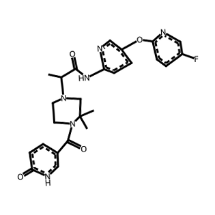 CC(C(=O)Nc1ccc(Oc2ccc(F)cn2)cn1)N1CCN(C(=O)c2ccc(=O)[nH]c2)C(C)(C)C1